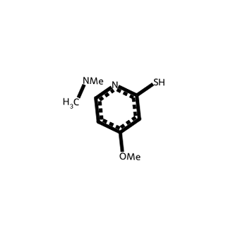 CNC.COc1ccnc(S)c1